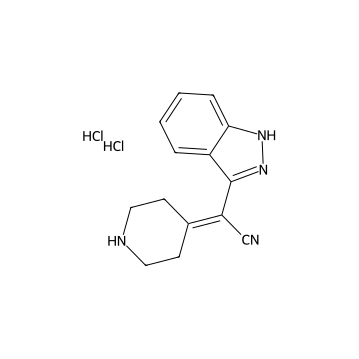 Cl.Cl.N#CC(=C1CCNCC1)c1n[nH]c2ccccc12